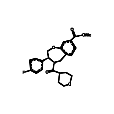 COC(=O)c1ccc2c(c1)OC[C@H](c1ccc(F)cc1)N(C(=O)C1CCOCC1)C2